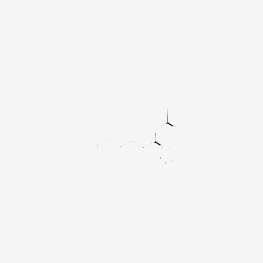 CCCCCCCCCCCC(=O)OC(=O)C(C)O.[NaH]